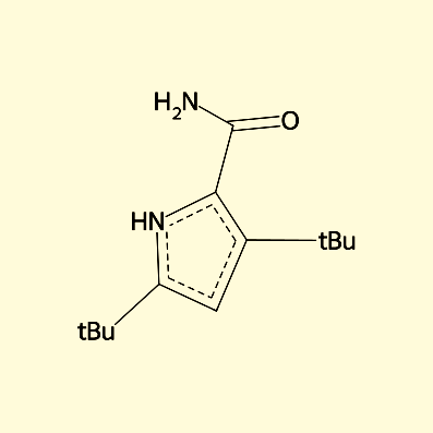 CC(C)(C)c1cc(C(C)(C)C)c(C(N)=O)[nH]1